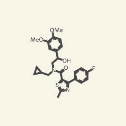 COc1ccc(C(O)CN(CC2CC2)C(=O)c2sc(C)nc2-c2ccc(F)cc2)cc1OC